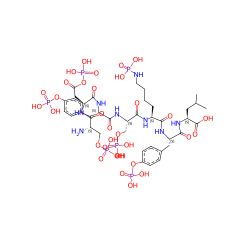 CC(C)C[C@H](NC(=O)[C@H](Cc1ccc(OP(=O)(O)O)cc1)NC(=O)[C@H](CCCCNP(=O)(O)O)NC(=O)[C@H](COP(=O)(O)O)NC(=O)[C@H](Cc1ccc(OP(=O)(O)O)cc1)NC(=O)[C@H](CC(=O)OP(=O)(O)O)NC(=O)[C@@H](N)COP(=O)(O)O)C(=O)O